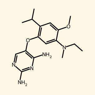 CCN(C)c1cc(Oc2cnc(N)nc2N)c(C(C)C)cc1OC